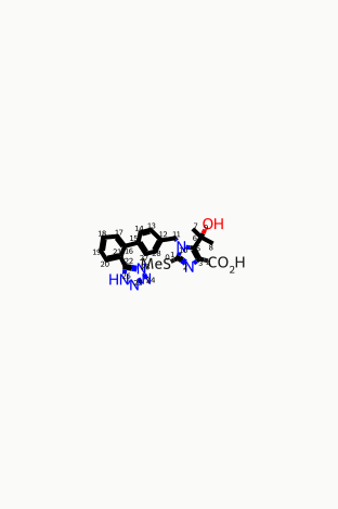 CSc1nc(C(=O)O)c(C(C)(C)O)n1Cc1ccc(-c2ccccc2-c2nnn[nH]2)cc1